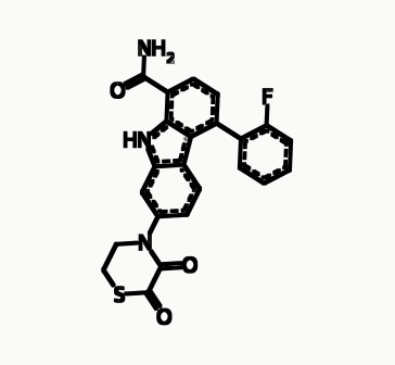 NC(=O)c1ccc(-c2ccccc2F)c2c1[nH]c1cc(N3CCSC(=O)C3=O)ccc12